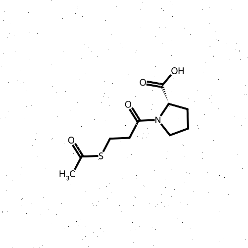 CC(=O)SCCC(=O)N1CCC[C@H]1C(=O)O